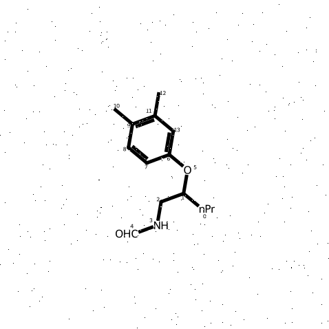 CCCC(CNC=O)Oc1ccc(C)c(C)c1